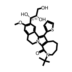 COc1cc2c(cc1[C@H](O)[C@@H](O)CO)-c1c(-c3cccs3)c3c(n1CC2)C(=O)N(C(C)(C)C)CCCC3